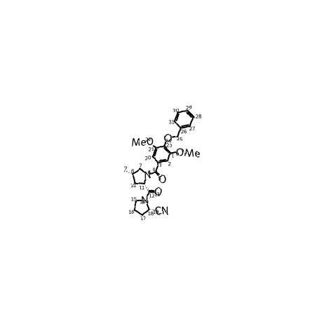 COc1cc(C(=O)N2C[C@@H](C)C[C@H]2C(=O)N2CCC[C@H]2C#N)cc(OC)c1OCc1ccccc1